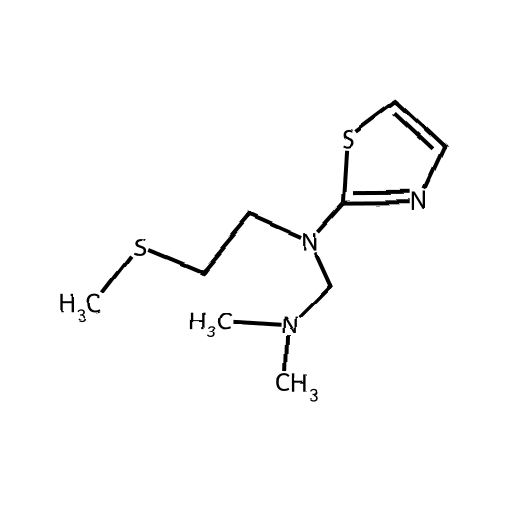 CSCCN(CN(C)C)c1nccs1